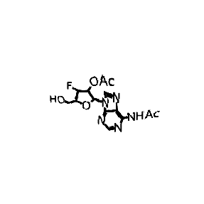 CC(=O)Nc1ncnc2c1ncn2C1OC(CO)C(F)C1OC(C)=O